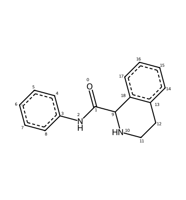 O=C(Nc1cc[c]cc1)C1NCCc2ccccc21